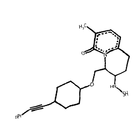 CCCC#CC1CCC(OCC2C(NS)CCc3ccc(C)c(=O)n32)CC1